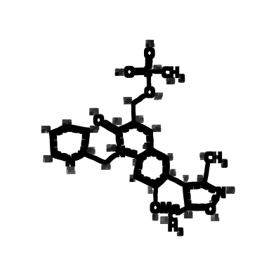 COc1cc2c(cc1-c1c(C)noc1C)cc(COS(C)(=O)=O)c(=O)n2Cc1ccccn1